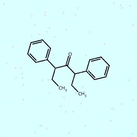 CCC(C(=O)C(CC)c1ccccc1)c1ccccc1